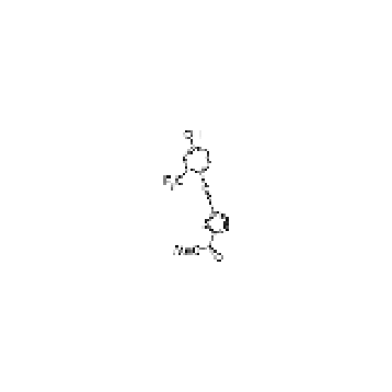 COC(=O)c1ccc(C#Cc2ccc(O)cc2C(F)(F)F)s1